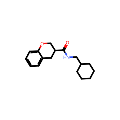 O=C(NCC1CCCCC1)C1COc2ccccc2C1